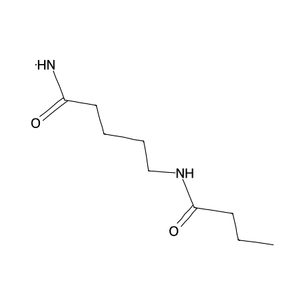 CCCC(=O)NCCCCC([NH])=O